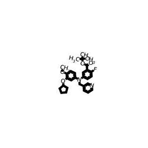 COc1ccc(N(Cc2cccnc2)c2ccc(F)c(C(=O)OC(C)(C)C)c2)cc1OC1CCCC1